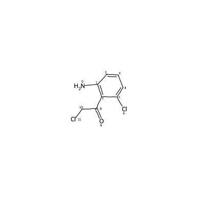 Nc1cccc(Cl)c1C(=O)CCl